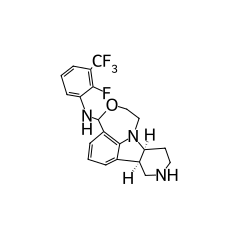 Fc1c(NC2OCCN3c4c2cccc4[C@@H]2CNCC[C@@H]23)cccc1C(F)(F)F